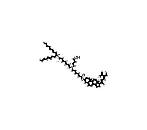 CCCCCCCCC(CCCCCCCC)OC(=O)CCCCCCN(CCCCO)CCCCCC(=O)OC1CCC2(C)C(=CCC3C2CCC2(C)C(C(C)CCC(CC)C(C)C)CCC32)C1